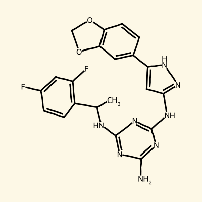 CC(Nc1nc(N)nc(Nc2cc(-c3ccc4c(c3)OCO4)[nH]n2)n1)c1ccc(F)cc1F